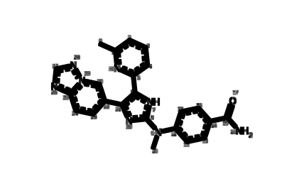 Cc1cccc(-c2[nH]c(N(C)c3ccc(C(N)=O)cc3)nc2-c2ccc3ncnn3c2)n1